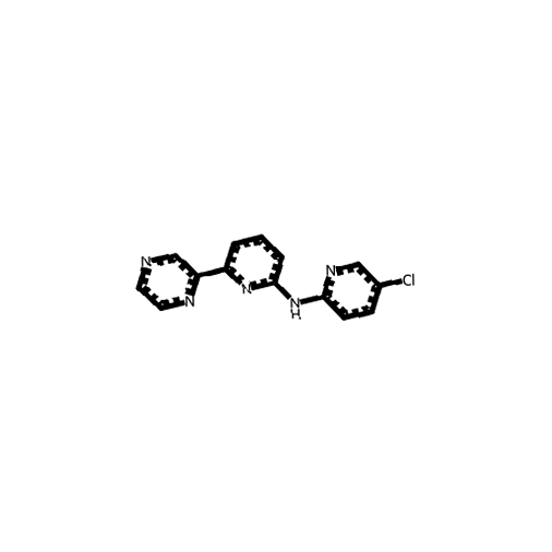 Clc1ccc(Nc2cccc(-c3cnccn3)n2)nc1